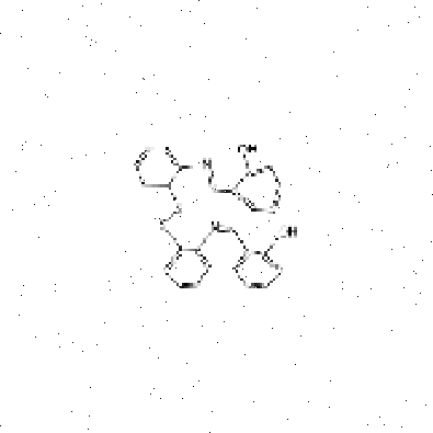 Oc1ccccc1C=Nc1ccccc1SSc1ccccc1N=Cc1ccccc1O